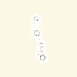 C1=C(c2nc(COc3ccc(CCCn4ccnc4)cc3)co2)CCc2ccccc21